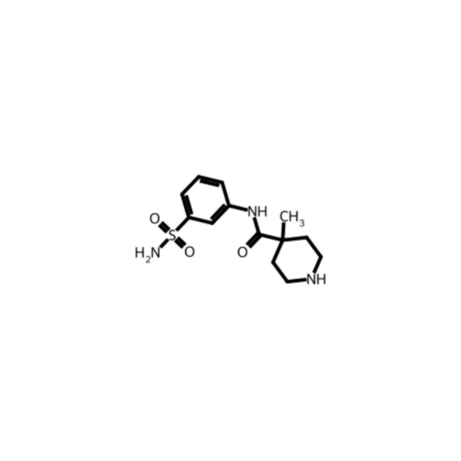 CC1(C(=O)Nc2cccc(S(N)(=O)=O)c2)CCNCC1